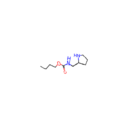 CCCCOC(=O)NCC1CCCN1